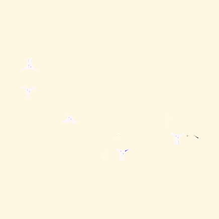 C[C@@H](NC(=O)[C@H]1CC[C@H](NS(=O)(=O)c2ccc3nc(C#CCN4CCNCC4)ccc3c2)CC1)c1ccc(F)cc1